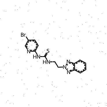 S=C(NCCn1nc2ccccc2n1)Nc1ccc(Br)cn1